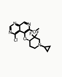 COc1ncc2ncnc(Cl)c2c1O[C@@H]1CCN(C2CC2)CC1(F)F